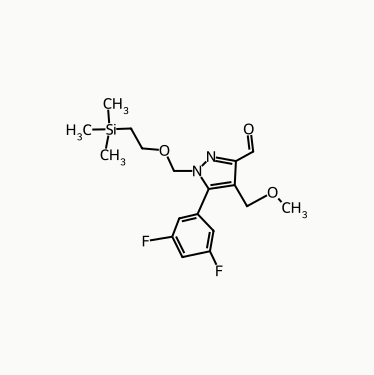 COCc1c(C=O)nn(COCC[Si](C)(C)C)c1-c1cc(F)cc(F)c1